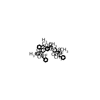 COC(=O)C1(N(OCc2ccccc2F)C(C)=O)CC[N+](CC(C)c2ccccc2)(OC(=O)C(=O)O[N+]2(CC(C)c3ccccc3)CCC(C(=O)OC)(N(OCc3ccccc3F)C(C)=O)CC2)CC1